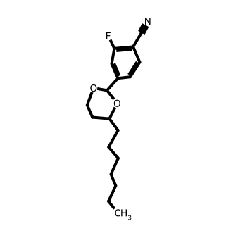 CCCCCCCC1CCOC(c2ccc(C#N)c(F)c2)O1